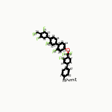 CCCCCc1ccc(-c2ccc(C(F)(F)Oc3ccc(-c4ccc(-c5cc(F)c(CF)c(F)c5)c(F)c4)c(F)c3)c(F)c2)cc1